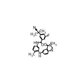 Cc1ccc(NC(=O)c2cc(F)cc(C(C)(C)C#N)c2)cc1Nc1ccc2ncn(C)c(=O)c2c1